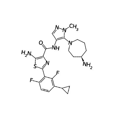 Cn1ncc(NC(=O)c2nc(-c3c(F)ccc(C4CC4)c3F)sc2N)c1N1CCC[C@@H](N)CC1